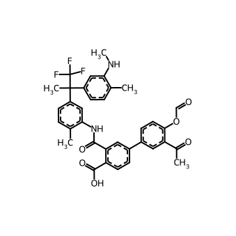 CNc1cc(C(C)(c2ccc(C)c(NC(=O)c3cc(-c4ccc(OC=O)c(C(C)=O)c4)ccc3C(=O)O)c2)C(F)(F)F)ccc1C